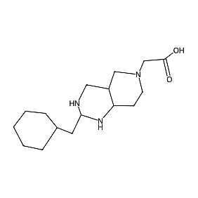 O=C(O)CN1CCC2NC(CC3CCCCC3)NCC2C1